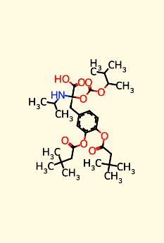 CC(C)N[C@@](Cc1ccc(OC(=O)CC(C)(C)C)c(OC(=O)CC(C)(C)C)c1)(OC(=O)OC(C)C(C)C)C(=O)O